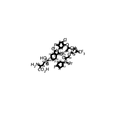 C#CC(C)Oc1cc(N2C(=O)C3=C(CCCC3)C2=O)c(F)cc1Cl.CC(C)N(C(=O)COc1nnc(C(F)(F)F)s1)c1ccc(F)cc1.CP(=O)(O)CCC(N)C(=O)O